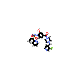 COc1cc(C(=O)N2CCN(Cc3ccncc3F)CC2)ccc1NS(=O)(=O)c1cccc2cccnc12